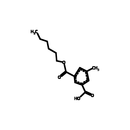 CCCCCCOC(=O)c1cc(C)cc(C(=O)O)c1